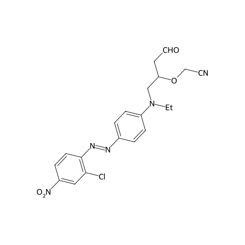 CCN(CC(CC=O)OCC#N)c1ccc(N=Nc2ccc([N+](=O)[O-])cc2Cl)cc1